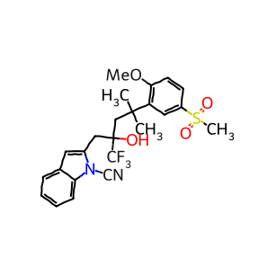 COc1ccc(S(C)(=O)=O)cc1C(C)(C)CC(O)(Cc1cc2ccccc2n1C#N)C(F)(F)F